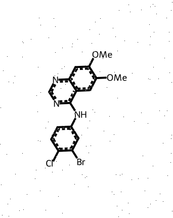 COc1cc2ncnc(Nc3ccc(Cl)c(Br)c3)c2cc1OC